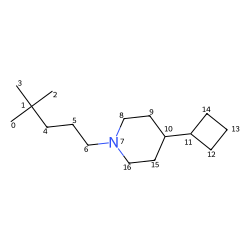 CC(C)(C)CCCN1CCC(C2CCC2)CC1